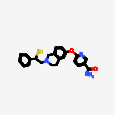 NC(=O)c1ccc(Oc2ccc3c(c2)CCN(CC(S)c2ccccc2)C3)nc1